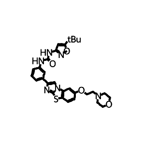 CC(C)(C)c1cc(NC(=O)Nc2cccc(-c3cn4c(n3)sc3ccc(OCCN5CCOCC5)cc34)c2)no1